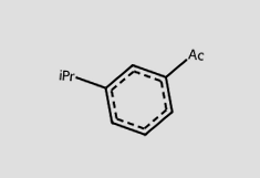 CC(=O)c1cccc(C(C)C)c1